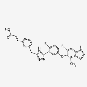 Cc1c(Oc2ccc(F)c(-c3nnc(Cc4cccc(C=CC(=O)O)c4)[nH]3)c2)c(F)cc2[nH]ccc12